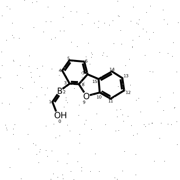 OC=Bc1cccc2c1oc1ccccc12